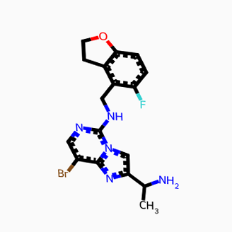 CC(N)c1cn2c(NCc3c(F)ccc4c3CCO4)ncc(Br)c2n1